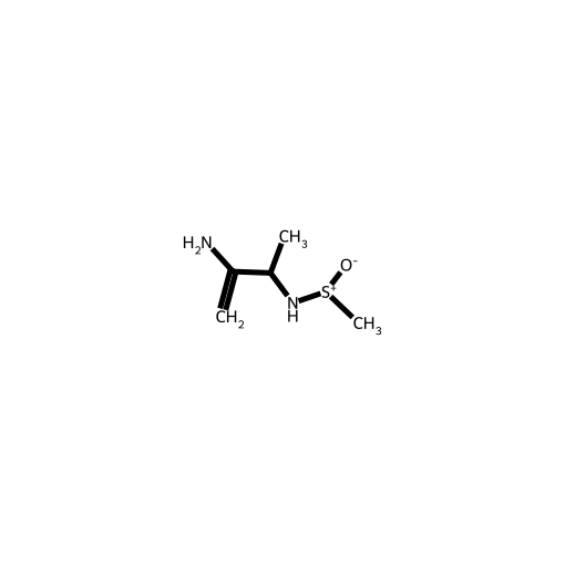 C=C(N)C(C)N[S+](C)[O-]